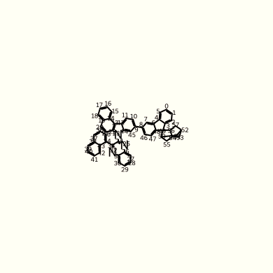 c1ccc2c(c1)-c1cc(-c3ccc4c5c6ccccc6ccc5n(-c5nc6ccccc6nc5-c5cccc6ccccc56)c4c3)ccc1C21C2CC3CC(C2)C1C3